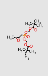 CC1OC1CP(=O)(OCOC(=O)C(C)(C)C)OCOC(=O)C(C)(C)C